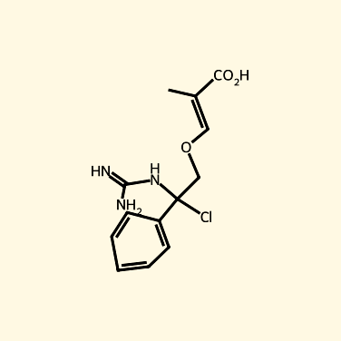 CC(=COCC(Cl)(NC(=N)N)c1ccccc1)C(=O)O